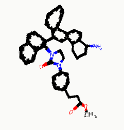 COC(=O)CCc1ccc(N2CCN(c3c(-c4cc5c6c(ccc5c5ccccc45)C(N)CCC6)ccc4ccccc34)C2=O)cc1